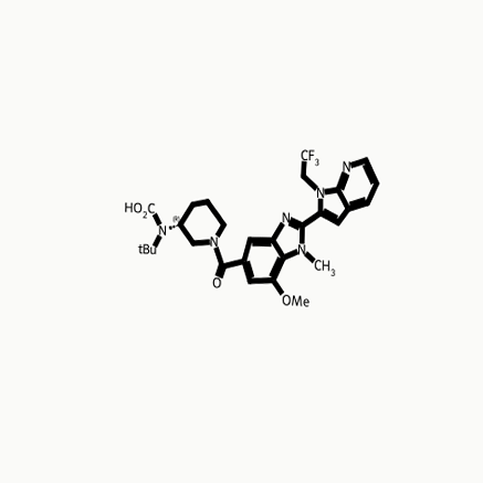 COc1cc(C(=O)N2CCC[C@@H](N(C(=O)O)C(C)(C)C)C2)cc2nc(-c3cc4cccnc4n3CC(F)(F)F)n(C)c12